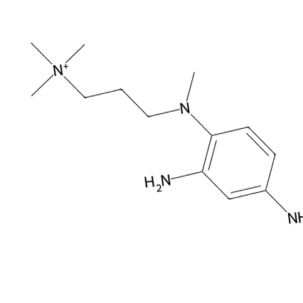 CN(CCC[N+](C)(C)C)c1ccc(N)cc1N